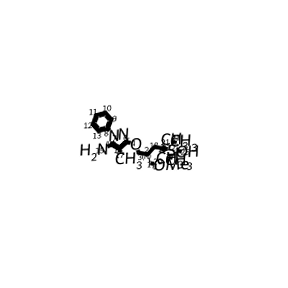 COC[C@H](COc1nn(-c2ccccc2)c(N)c1C)CC(C)(C)[Si](C)(C)O